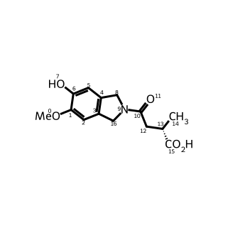 COc1cc2c(cc1O)CN(C(=O)C[C@H](C)C(=O)O)C2